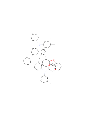 Cc1ccc(N(c2ccc(C)c(C)c2)c2ccc3c(c2)C2(c4cc(N(c5ccc(C)c(C)c5)c5ccc(C)c(C)c5)ccc4-c4ccccc4-3)c3ccccc3-c3c2ccc2c3oc3ccccc32)cc1C